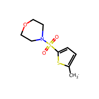 [CH2]c1ccc(S(=O)(=O)N2CCOCC2)s1